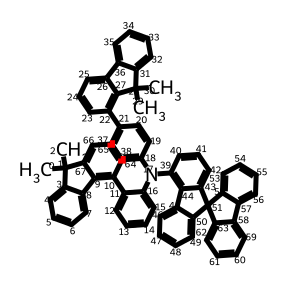 CC1(C)c2ccccc2-c2c(-c3ccccc3N(c3ccc(-c4cccc5c4C(C)(C)c4ccccc4-5)cc3)c3cccc4c3-c3ccccc3C43c4ccccc4-c4ccccc43)cccc21